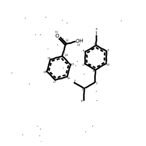 CC(C)Cc1ccc(I)cc1.O=C(O)c1ccccc1